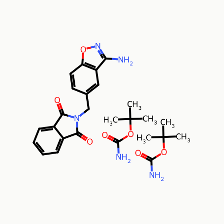 CC(C)(C)OC(N)=O.CC(C)(C)OC(N)=O.Nc1noc2ccc(CN3C(=O)c4ccccc4C3=O)cc12